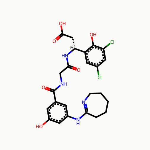 O=C(O)C[C@@H](NC(=O)CNC(=O)c1cc(O)cc(NC2=NCCCCC2)c1)c1cc(Cl)cc(Cl)c1O